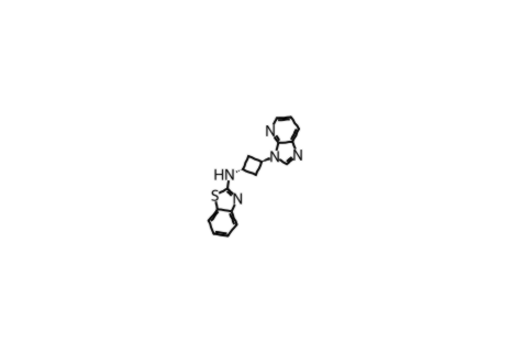 c1ccc2sc(N[C@H]3C[C@H](n4cnc5cccnc54)C3)nc2c1